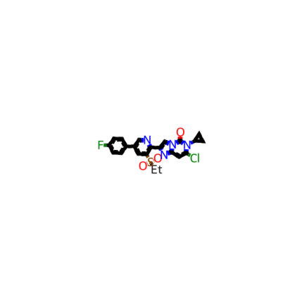 CCS(=O)(=O)c1cc(-c2ccc(F)cc2)cnc1-c1cn2c(=O)n(C3CC3)c(Cl)cc2n1